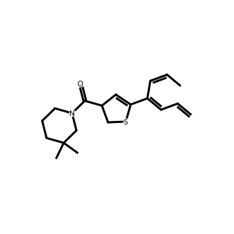 C=C/C=C(\C=C/C)C1=CC(C(=O)N2CCCC(C)(C)C2)CS1